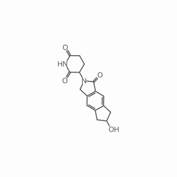 O=C1CCC(N2Cc3cc4c(cc3C2=O)CC(O)C4)C(=O)N1